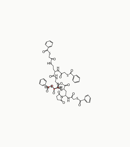 CC(C)(C)OC(=O)NC(CNC(=O)C(CCNC(=O)CSC(=O)c1ccccc1)NC(=O)CSC(=O)c1ccccc1)OC(=O)C(CC(NC(=O)CSC(=O)c1ccccc1)N1C(=O)CCC1=O)NC(=O)CSC(=O)c1ccccc1